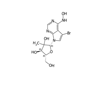 CC1(O)[C@H](O)[C@@H](CO)O[C@H]1n1cc(Br)c2c(NO)ncnc21